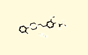 CNC(=O)Oc1ccc(CCN2CCN(c3ccccc3C)CC2)cc1OC.Cl.O